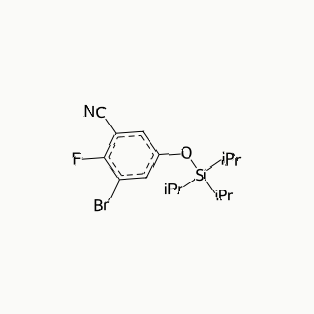 CC(C)[Si](Oc1cc(Br)c(F)c(C#N)c1)(C(C)C)C(C)C